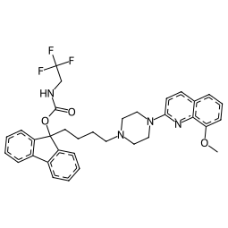 COc1cccc2ccc(N3CCN(CCCCC4(OC(=O)NCC(F)(F)F)c5ccccc5-c5ccccc54)CC3)nc12